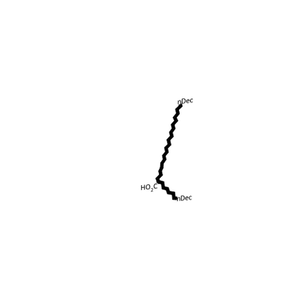 CCCCCCCCCCCCCCCCCCCCCCCCCCCCCCC(CCCCCCCCCCCCCCCC)C(=O)O